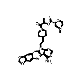 CC(OC(=O)[C@@H]1CN(C)CCO1)C(=O)N1CCC(CCn2c(Sc3cc4c(cc3Br)OCO4)nc3c(N)ncnc32)CC1